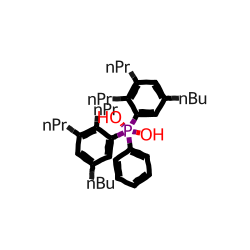 CCCCc1cc(CCC)c(CCC)c(P(O)(O)(c2ccccc2)c2cc(CCCC)cc(CCC)c2CCC)c1